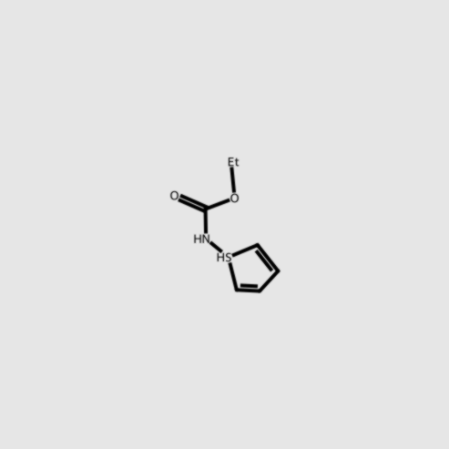 CCOC(=O)N[SH]1C=CC=C1